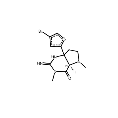 CN1C(=N)NC2(c3cc(Br)cs3)CCN(C)[C@H]2C1=O